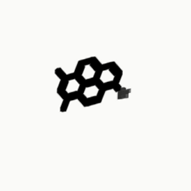 Cc1cc(C)c2ccc3c(Br)ccc4ccc1c2c43